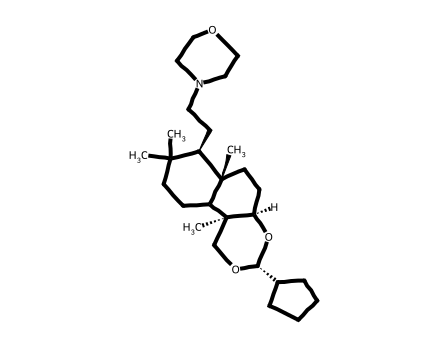 CC1(C)CCC2[C@]3(C)CO[C@@H](C4CCCC4)O[C@@H]3CC[C@@]2(C)[C@@H]1CCN1CCOCC1